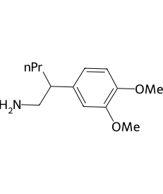 CCCC(CN)c1ccc(OC)c(OC)c1